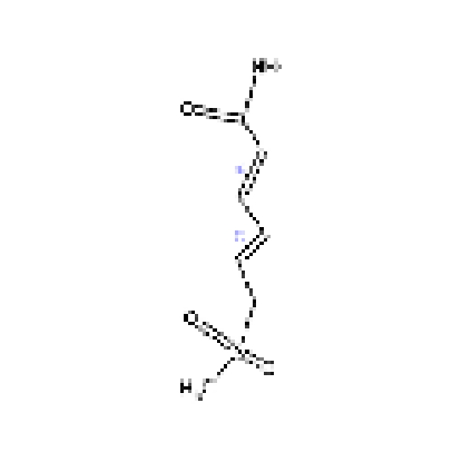 CS(=O)(=O)C/C=C/C=C/C([NH])=O